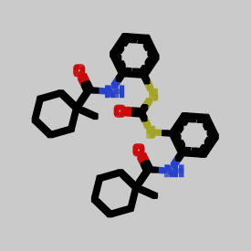 CC1(C(=O)Nc2ccccc2SC(=O)Sc2ccccc2NC(=O)C2(C)CCCCC2)CCCCC1